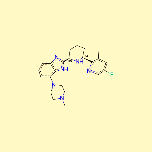 Cc1cc(F)cnc1[C@@H]1CCC[C@H](c2nc3cccc(N4CCN(C)CC4)c3[nH]2)N1